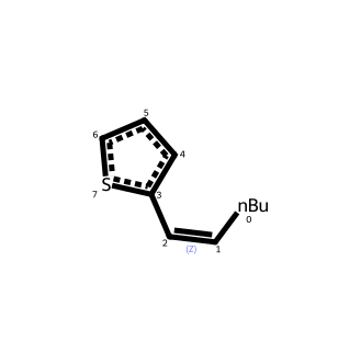 CCCC/C=C\c1cccs1